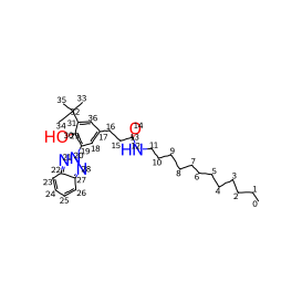 CCCCCCCCCCCCNC(=O)CCc1cc(-n2nc3ccccc3n2)c(O)c(C(C)(C)C)c1